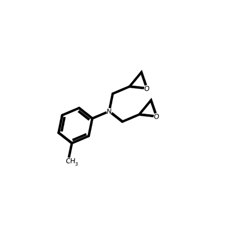 Cc1cccc(N(CC2CO2)CC2CO2)c1